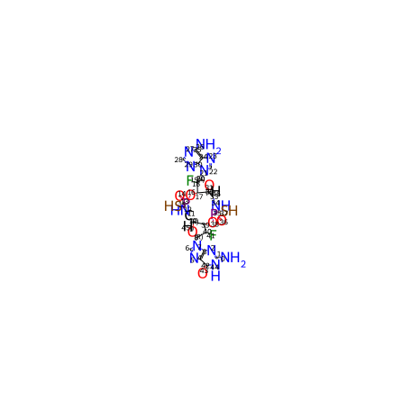 Nc1nc2c(ncn2[C@@H]2O[C@@H]3CNP(=O)(S)OC4C(F)[C@H](n5cnc6c(N)ncnc65)O[C@@H]4CNP(=O)(S)OC3C2F)c(=O)[nH]1